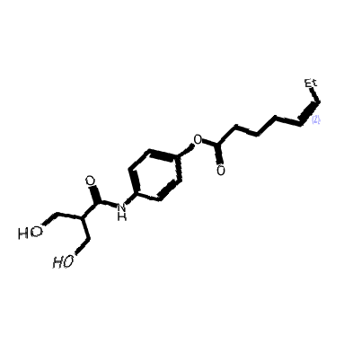 CC/C=C\CCCC(=O)Oc1ccc(NC(=O)C(CO)CO)cc1